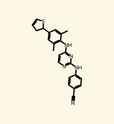 Cc1cc(C2CC=CS2)cc(C)c1Nc1ccnc(Nc2ccc(C#N)cc2)n1